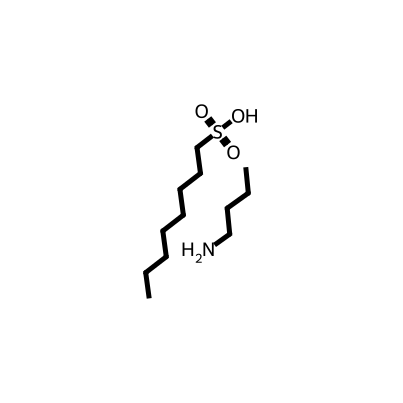 CCCCCCCCS(=O)(=O)O.CCCCN